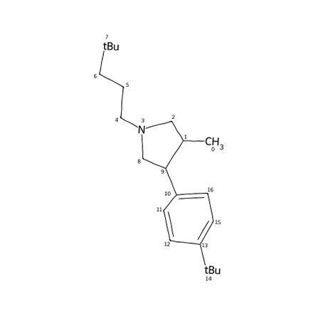 CC1CN(CCCC(C)(C)C)CC1c1ccc(C(C)(C)C)cc1